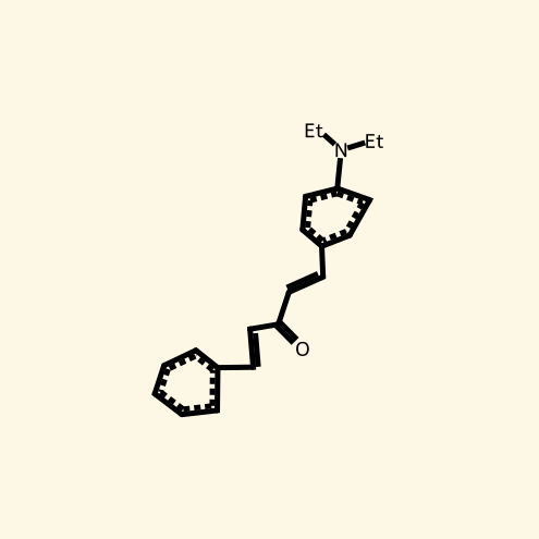 CCN(CC)c1ccc(C=CC(=O)C=Cc2ccccc2)cc1